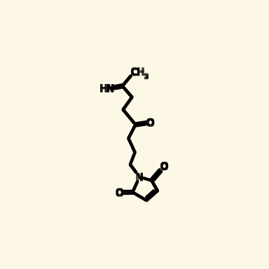 CC(=N)CCC(=O)CCCN1C(=O)C=CC1=O